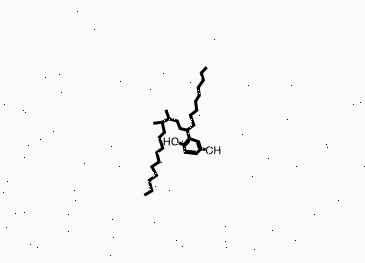 CCCCCCCCCCC(C)C(C)CCC(CCCCCCCCC)c1cc(O)ccc1O